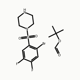 CC(C)(C)OC=O.O=S(=O)(c1cc(F)c(F)cc1Br)N1CCNCC1